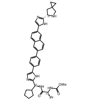 COC(=O)N[C@H](C(=O)N[C@H](c1ncc(-c2ccc(-c3ccc4cc(-c5cnc([C@@H]6CC7(CC7)CN6)[nH]5)ccc4c3)cc2)[nH]1)C1CCCC1)C(C)C